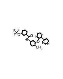 Cc1ccc(NC(=O)c2cccc(OC(F)(F)F)c2)cc1Oc1ncccc1-c1ccncn1